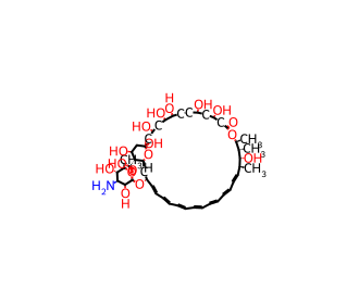 C[C@@H]1[C@H](O)[C@@H](C)/C=C/C=C/C=C/C=C/C=C/C=C/C=C/[C@H](OC2O[C@H](C)[C@@H](O)[C@H](N)[C@@H]2O)C[C@@H]2OC(O)(C[C@@H](O)C[C@@H](O)C(O)CC[C@@H](O)C[C@@H](O)CC(=O)O[C@H]1C)C[C@H](O)[C@H]2C(=O)O